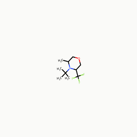 CC1COCC(C(F)(F)F)N1C(C)(C)C